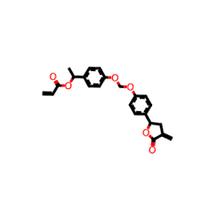 C=CC(=O)OC(C)c1ccc(OCOc2ccc(C3CC(=C)C(=O)O3)cc2)cc1